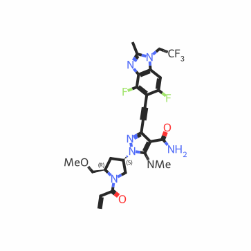 C=CC(=O)N1C[C@@H](n2nc(C#Cc3c(F)cc4c(nc(C)n4CC(F)(F)F)c3F)c(C(N)=O)c2NC)C[C@@H]1COC